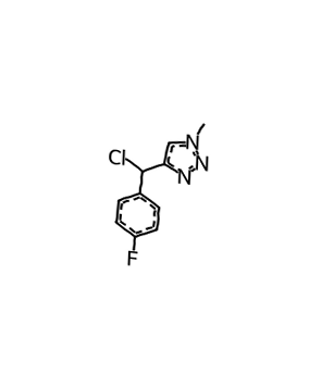 Cn1cc(C(Cl)c2ccc(F)cc2)nn1